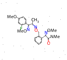 CNC(=O)C(=NOC)c1ccccc1CON=C(C)C(=NOC)c1ccc(OC)cc1F